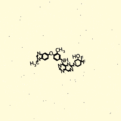 Cc1cc(Nc2ncnc3cnc(N4CCC(F)(F)[C@@H](O)C4)nc23)ccc1Oc1ccc2c(c1)ncn2C